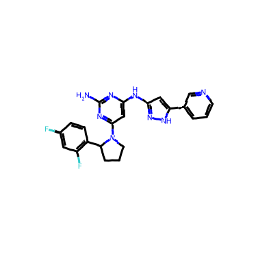 Nc1nc(Nc2cc(-c3cccnc3)[nH]n2)cc(N2CCCC2c2ccc(F)cc2F)n1